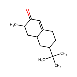 CC1CC2CC(C(C)(C)C)CCC2=CC1=O